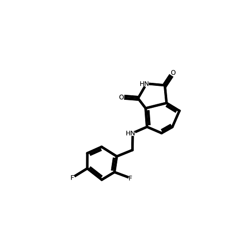 O=C1NC(=O)c2c(NCc3ccc(F)cc3F)cccc21